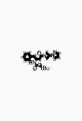 CC(C)(C)OC(=O)NC(CC(=O)N1CC(n2cccn2)C1)Cc1ccccc1F